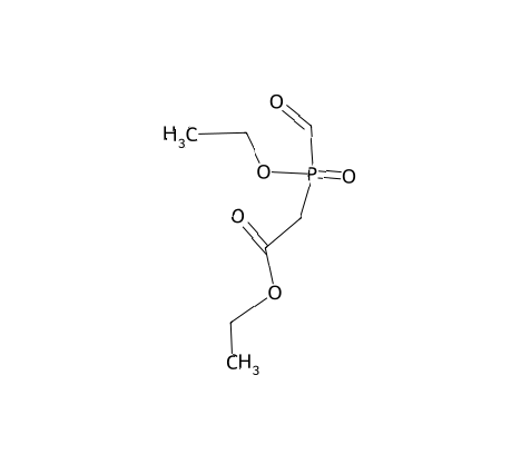 CCOC(=O)CP(=O)(C=O)OCC